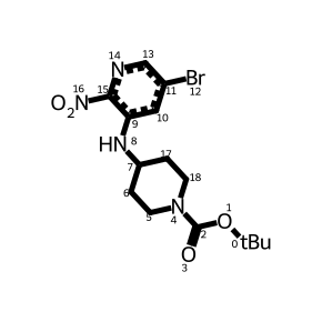 CC(C)(C)OC(=O)N1CCC(Nc2cc(Br)cnc2[N+](=O)[O-])CC1